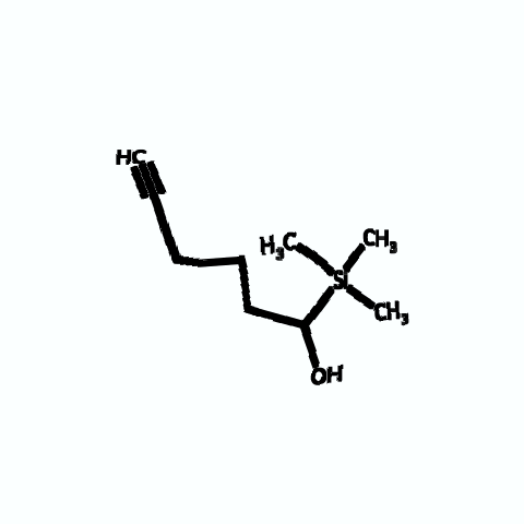 C#CCCCC(O)[Si](C)(C)C